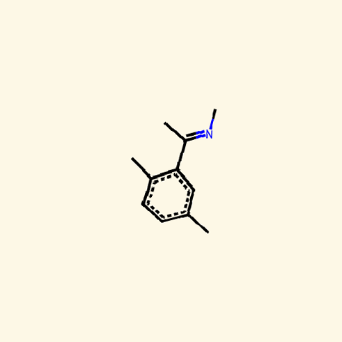 C/N=C(\C)c1cc(C)ccc1C